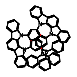 c1ccc(B(c2ccccc2)c2cccc(-n3c4ccccc4c4ccc5c6ccccc6n(-c6cccc(-n7c8ccccc8c8ccc9c%10ccccc%10n(-c%10cccc(B(c%11ccccc%11)c%11ccccc%11)c%10)c9c87)c6)c5c43)c2)cc1